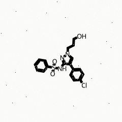 O=S(=O)(Nc1nn(CCCO)cc1-c1ccc(Cl)cc1)c1ccccc1